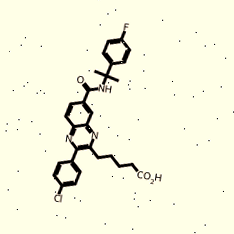 CC(C)(NC(=O)c1ccc2nc(-c3ccc(Cl)cc3)c(CCCCC(=O)O)nc2c1)c1ccc(F)cc1